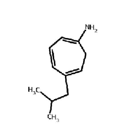 CC(C)CC1=CCC(N)=CC=C1